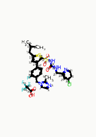 Cc1nccn1Cc1ccc(-c2cc(CC(C)C)sc2S(=O)(=O)NC(=O)NCc2cc(Cl)ccn2)cc1F.O=C(O)C(F)(F)F